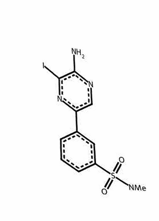 CNS(=O)(=O)c1cccc(-c2cnc(N)c(I)n2)c1